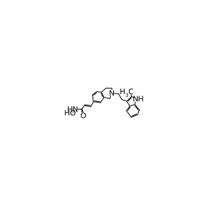 Cc1[nH]c2ccccc2c1CCN1CCc2ccc(C=CC(=O)NO)cc2C1